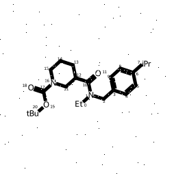 CCN(Cc1ccc(C(C)C)cc1)C(=O)C1CCCN(C(=O)OC(C)(C)C)C1